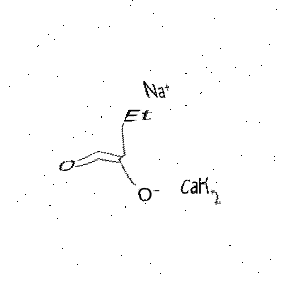 CCC(=O)[O-].[CaH2].[Na+]